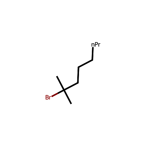 CCCCCCC(C)(C)Br